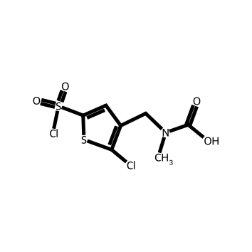 CN(Cc1cc(S(=O)(=O)Cl)sc1Cl)C(=O)O